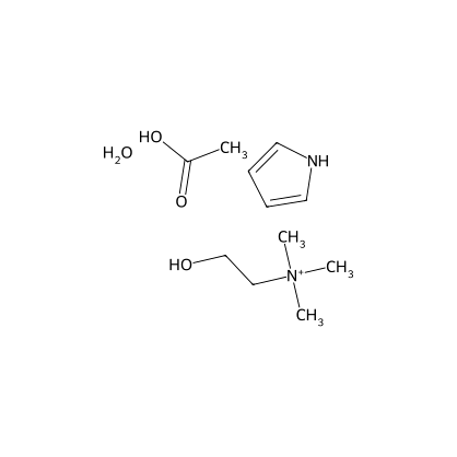 CC(=O)O.C[N+](C)(C)CCO.O.c1cc[nH]c1